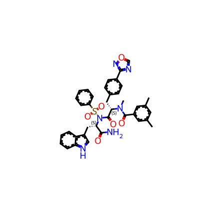 Cc1cc(C)cc(C(=O)N(C)[C@@H](Cc2ccc(-c3ncon3)cc2)C(=O)N([C@@H](Cc2c[nH]c3ccccc23)C(N)=O)S(=O)(=O)c2ccccc2)c1